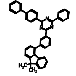 CC1(C)c2ccccc2-c2c(-c3cccc(-c4nc(-c5ccccc5)nc(-c5ccc(-c6ccccc6)cc5)n4)c3)cccc21